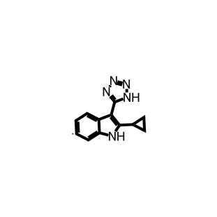 [c]1ccc2c(-c3nnn[nH]3)c(C3CC3)[nH]c2c1